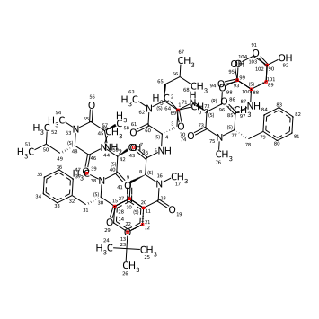 CC(C)C[C@H](NC(=O)[C@H](Cc1ccccc1)N(C)C(=O)[C@H](COC(C)(C)C)NC(=O)[C@H](Cc1ccccc1)N(C)C(=O)[C@H](C)N(C)C(=O)[C@H](CC(C)C)N(C)C(=O)[C@@H](C)N)C(=O)N(C)[C@@H](CC(C)C)C(=O)N[C@H](C(=O)N(C)[C@@H](Cc1ccccc1)C(=O)N[C@@H](CC(=O)O)C(=O)O)[C@@H](C)OC1CCCCO1